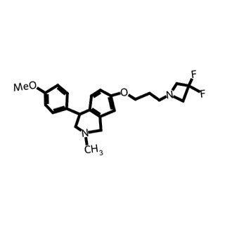 COc1ccc(C2CN(C)Cc3cc(OCCCN4CC(F)(F)C4)ccc32)cc1